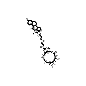 CC[C@H]1OC(=O)[C@H](C)C(O)[C@H](C)[C@@H](O)[C@](C)(O)C[C@@H](C)CN[C@H](C)C(OC(=O)NCCNCCC(=O)O[C@]2(C(=O)OC)[C@H](C)CC3C4CCC5=CC(=O)C=C[C@]5(C)[C@@]4(F)[C@@H](O)C[C@@]32C)[C@]1(C)O